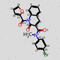 CN(C(=O)c1cc2ccccc2n(C(=O)c2ccco2)c1=O)c1ccc(Br)cc1